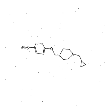 CSc1ccc(OCC2CCN(CC3CC3)CC2)cc1